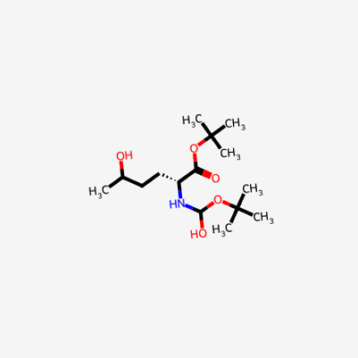 CC(O)CC[C@@H](NC(O)OC(C)(C)C)C(=O)OC(C)(C)C